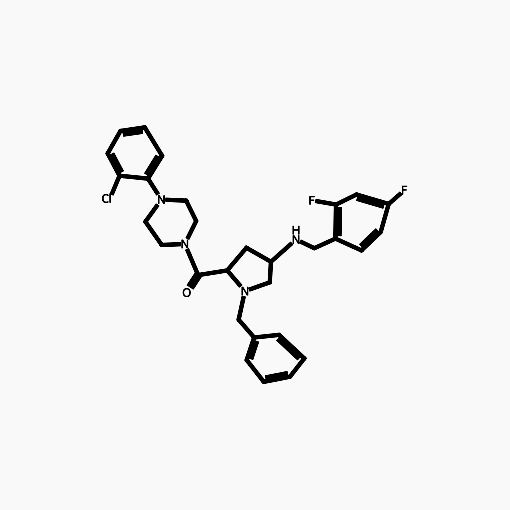 O=C(C1CC(NCc2ccc(F)cc2F)CN1Cc1ccccc1)N1CCN(c2ccccc2Cl)CC1